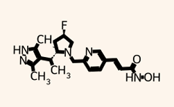 Cc1n[nH]c(C)c1C(C)[C@@H]1C[C@@H](F)CN1Cc1ccc(C=CC(=O)NO)cn1